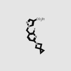 CCOC(=O)c1cnn(Cc2ccc(N3CC4(CC4)C3)nc2F)c1